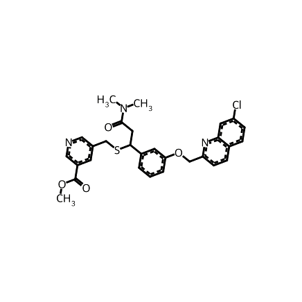 COC(=O)c1cncc(CSC(CC(=O)N(C)C)c2cccc(OCc3ccc4ccc(Cl)cc4n3)c2)c1